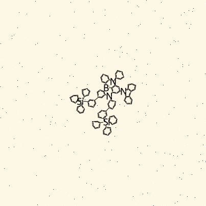 c1ccc(N2c3ccccc3B3c4ccc(-c5cccc([Si](c6ccccc6)(c6ccccc6)c6ccccc6)c5)cc4N(c4cccc(-c5cccc([Si](c6ccccc6)(c6ccccc6)c6ccccc6)c5)c4)c4cc(-n5c6ccccc6c6ccccc65)cc2c43)cc1